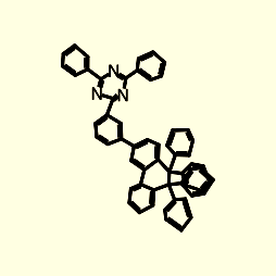 c1ccc(-c2nc(-c3ccccc3)nc(-c3cccc(-c4ccc5c(c4)-c4ccccc4C(c4ccccc4)(c4ccccc4)C5(c4ccccc4)c4ccccc4)c3)n2)cc1